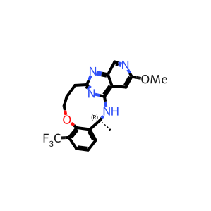 COc1cc2c3nc(nc2cn1)CCCOc1c(cccc1C(F)(F)F)[C@@H](C)N3